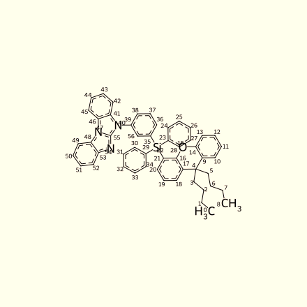 CCCCC1(CCCC)c2ccccc2Oc2c1cccc2[Si](c1ccccc1)(c1ccccc1)c1cccc(-n2c3ccccc3n3c4ccccc4nc23)c1